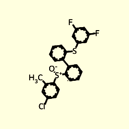 Cc1cc(Cl)ccc1[S+]([O-])c1[c]cccc1-c1ccccc1Sc1cc(F)cc(F)c1